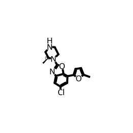 Cc1ccc(-c2cc(Cl)cc3nc(N4CCNC[C@@H]4C)oc23)o1